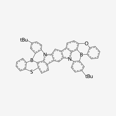 CC(C)(C)c1ccc2c(c1)B1c3ccccc3Oc3ccc4c5cc6c(cc5n-2c4c31)c1ccc2c3c1n6-c1ccc(C(C)(C)C)cc1B3c1ccccc1S2